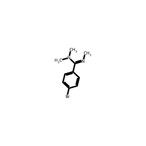 C/N=C(/c1ccc(Br)cc1)N(C)C